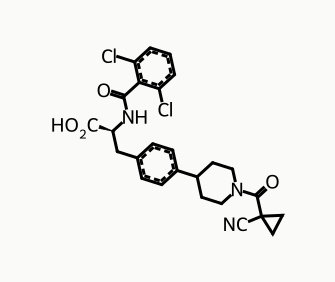 N#CC1(C(=O)N2CCC(c3ccc(C[C@H](NC(=O)c4c(Cl)cccc4Cl)C(=O)O)cc3)CC2)CC1